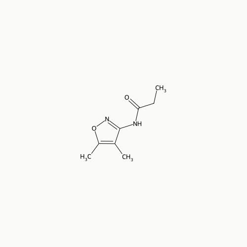 CCC(=O)Nc1noc(C)c1C